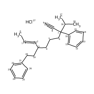 CN=NC(CCCC(C#N)(c1ccccc1)C(C)C)CCc1ccccc1.Cl